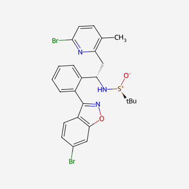 Cc1ccc(Br)nc1C[C@H](N[S@@+]([O-])C(C)(C)C)c1ccccc1-c1noc2cc(Br)ccc12